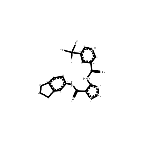 O=C(Nc1snnc1C(=O)Nc1ccc2c(c1)CCC2)c1cncc(C(F)(F)F)c1